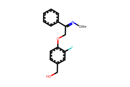 CO/N=C(\COc1ccc(CO)cc1F)c1ccccc1